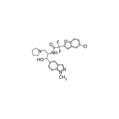 Cn1ncc2cc(C(O)C(CN3CCCC3)NC(=O)C(F)(F)c3cc4cc(Cl)ccc4o3)ccc21